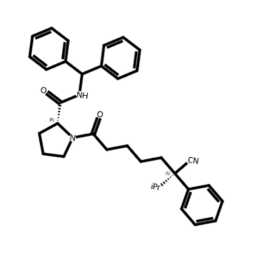 CC(C)[C@@](C#N)(CCCCC(=O)N1CCC[C@@H]1C(=O)NC(c1ccccc1)c1ccccc1)c1ccccc1